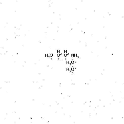 N.O.O.O.O.O